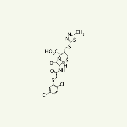 Cc1nnc(SCC2=C(C(=O)O)N3C(=O)C(NC(=O)CSc4cc(Cl)ccc4Cl)[C@@H]3SC2)s1